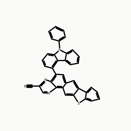 N#Cc1cnc2c(n1)c(-c1cccc3c1c1ccccc1n3-c1ccccc1)cc1cc3c(cc12)sc1ccccc13